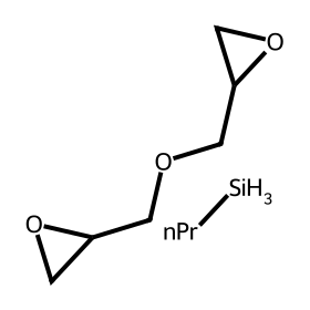 C(OCC1CO1)C1CO1.CCC[SiH3]